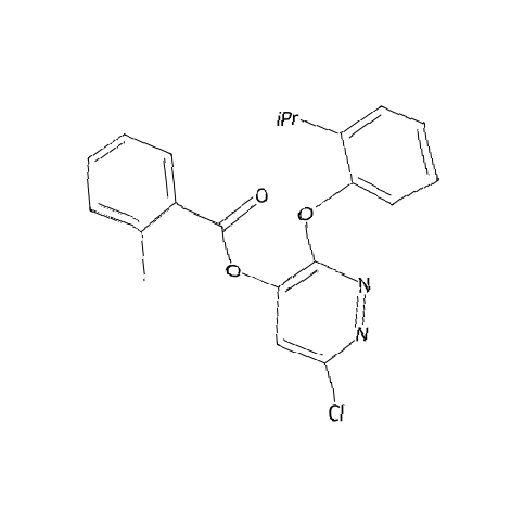 Cc1ccccc1C(=O)Oc1cc(Cl)nnc1Oc1ccccc1C(C)C